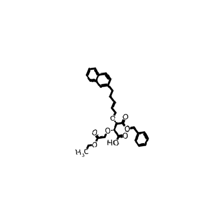 CCOC(=O)CO[C@@H](C(=O)O)[C@@H](OC/C=C/CCc1ccc2ccccc2c1)C(=O)OCc1ccccc1